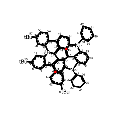 CC(C)(C)c1ccc(N2c3ccc(C(C)(C)C)cc3B3C4=C(C=C(c5c(N(C6=CCCC=C6)c6ccccc6)cccc5N(c5ccccc5)c5ccccc5)CC42)Oc2ccc(C(C)(C)C)cc23)cc1